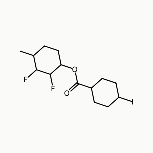 CC1CCC(OC(=O)C2CCC(I)CC2)C(F)C1F